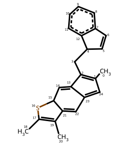 CC1=C(CC2C=Cc3ccccc32)C2=CC3SC(C)=C(C)C3=CC2=C1